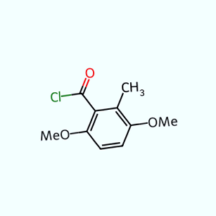 COc1ccc(OC)c(C(=O)Cl)c1C